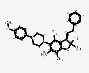 COc1ccc(N2CCN(c3c(C)c(C)c4c(c3C)C(=CCc3ccccc3)C(C)(C)O4)CC2)cc1